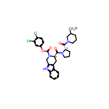 O=C(O)C1CCCN(C(=O)[C@@H]2CCCN2C(=O)[C@H]2Cc3c([nH]c4ccccc34)CN2C(=O)Oc2ccc(Cl)c(Cl)c2)C1